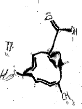 Cc1cc(C)cc(C(=O)O)c1.[Tl]